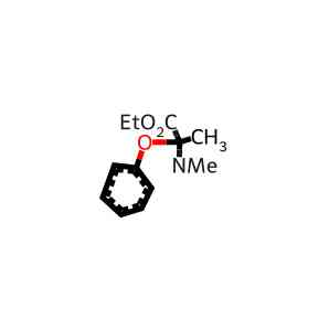 CCOC(=O)C(C)(NC)Oc1ccccc1